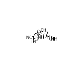 Cc1onc(N[C@@H](CC(C)C)C(=O)NCC#N)c1-c1ccc(N2CCNCC2)cc1